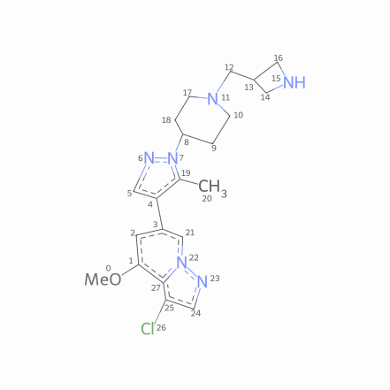 COc1cc(-c2cnn(C3CCN(CC4CNC4)CC3)c2C)cn2ncc(Cl)c12